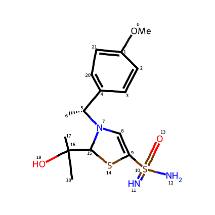 COc1ccc([C@@H](C)N2C=C(S(=N)(N)=O)SC2C(C)(C)O)cc1